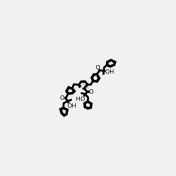 C=C(/C=C\C(Cc1ccc(C(=O)C(C)(O)Cc2ccccc2)cc1)=C(/C)C(=O)C(C)(O)Cc1ccccc1)Cc1ccc(C(=O)C(C)(O)Cc2ccccc2)cc1